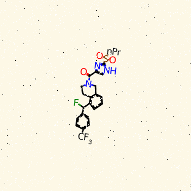 CCCS(=O)(=O)c1nc(C(=O)N2CCc3c(cccc3C(F)c3ccc(C(F)(F)F)cc3)C2)c[nH]1